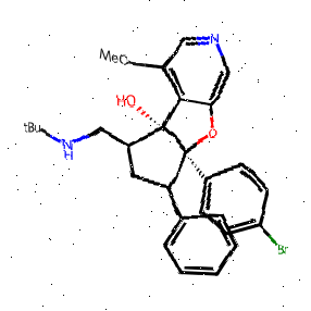 COc1cncc2c1[C@]1(O)C(CNC(C)(C)C)CC(c3ccccc3)[C@]1(c1ccc(Br)cc1)O2